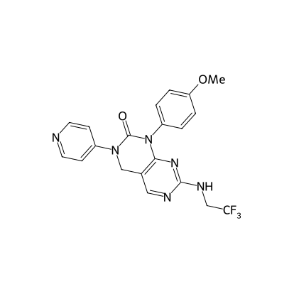 COc1ccc(N2C(=O)N(c3ccncc3)Cc3cnc(NCC(F)(F)F)nc32)cc1